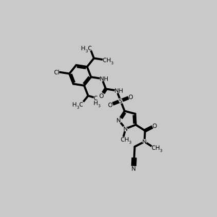 CC(C)c1cc(Cl)cc(C(C)C)c1NC(=O)NS(=O)(=O)c1cc(C(=O)N(C)CC#N)n(C)n1